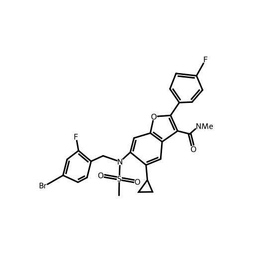 CNC(=O)c1c(-c2ccc(F)cc2)oc2cc(N(Cc3ccc(Br)cc3F)S(C)(=O)=O)c(C3CC3)cc12